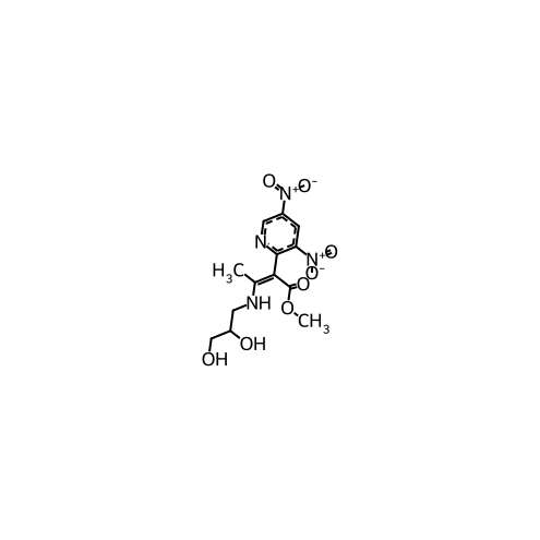 COC(=O)/C(=C(/C)NCC(O)CO)c1ncc([N+](=O)[O-])cc1[N+](=O)[O-]